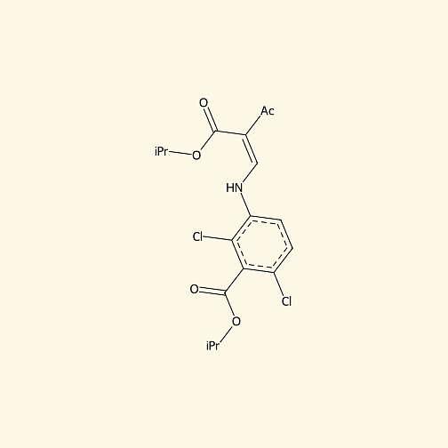 CC(=O)C(=CNc1ccc(Cl)c(C(=O)OC(C)C)c1Cl)C(=O)OC(C)C